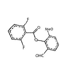 COc1cccc(C=O)c1OC(=O)c1c(F)cccc1F